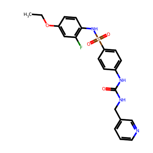 CCOc1ccc(NS(=O)(=O)c2ccc(NC(=O)NCc3cccnc3)cc2)c(F)c1